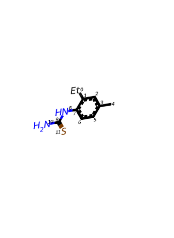 CCc1cc(C)ccc1NC(N)=S